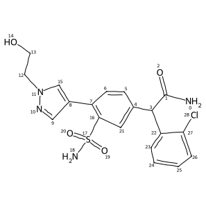 NC(=O)C(c1ccc(-c2cnn(CCO)c2)c(S(N)(=O)=O)c1)c1ccccc1Cl